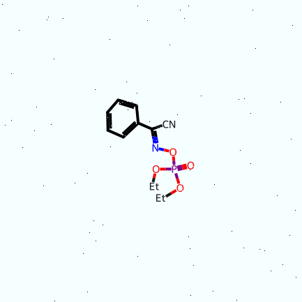 CCOP(=O)(OCC)O/N=C(\C#N)c1ccccc1